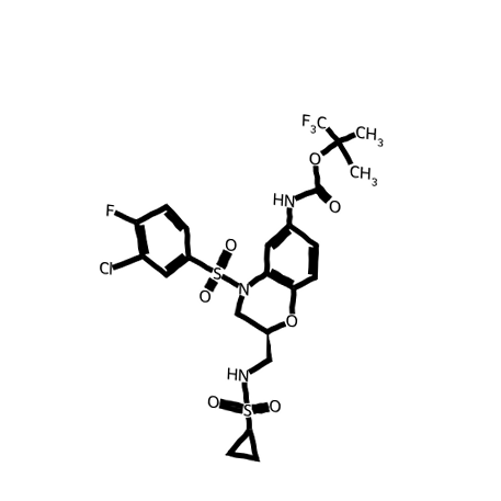 CC(C)(OC(=O)Nc1ccc2c(c1)N(S(=O)(=O)c1ccc(F)c(Cl)c1)C[C@H](CNS(=O)(=O)C1CC1)O2)C(F)(F)F